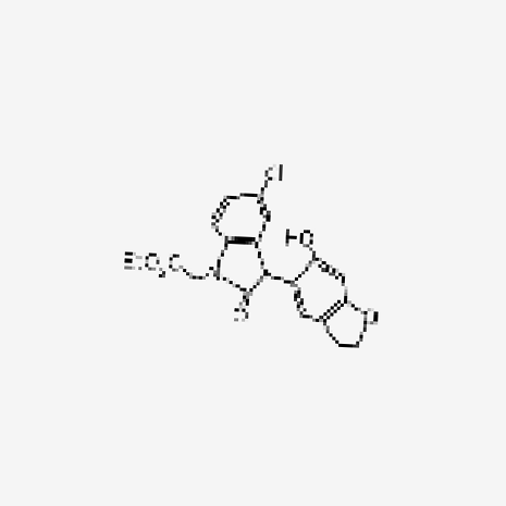 CCOC(=O)CN1C(=O)C(c2cc3c(cc2O)OCC3)c2cc(Cl)ccc21